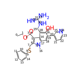 CCOC(=O)c1c(CSc2ccccc2)n(C)c2cc(-c3cccnc3)c(O)c(CNC(=N)N)c12